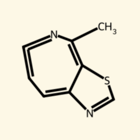 CC1=c2scnc2=CC=C=N1